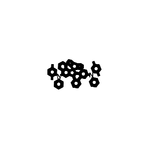 Cc1ccc(C)c(N(c2ccccc2)c2ccc3c4c(c5ccccc5c3c2)-c2cc(N(c3ccccc3)c3cc(C)ccc3C)c3ccccc3c2C42c3ccccc3-c3ccccc32)c1